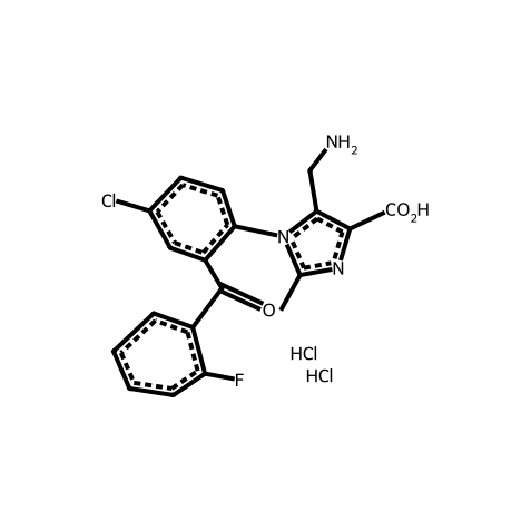 Cc1nc(C(=O)O)c(CN)n1-c1ccc(Cl)cc1C(=O)c1ccccc1F.Cl.Cl